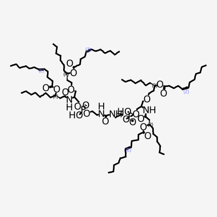 CCCCCC/C=C\CCCC(=O)O[C@H](CCCCCCC)CCOCC(COP(=O)(O)OCCNC(=O)NCCOP(=O)(O)OCC(COCC[C@@H](CCCCCCC)OC(=O)CCC/C=C\CCCCCC)NC(=O)C[C@@H](CCCCCCC)OC(=O)CCC/C=C/CCCCCC)NC(=O)C[C@@H](CCCCCCC)OC(=O)CCC/C=C/CCCCCC